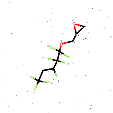 FC(CC(F)(F)F)C(F)(F)C(F)(F)OCC1CO1